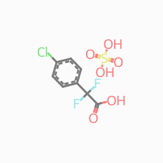 O=C(O)C(F)(F)c1ccc(Cl)cc1.O=S(=O)(O)O